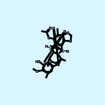 COc1c(C)cc2c(c1O)C1C3[C@@H]4SCC(=O)C(=O)OC[C@@H](c5c6c(c(C)c(OC(C)=O)c54)OCO6)N3C(C)(C2)CN1C